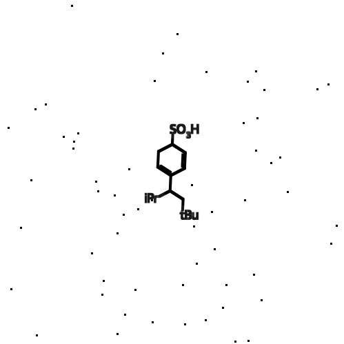 CC(C)C(CC(C)(C)C)C1=CCC(S(=O)(=O)O)C=C1